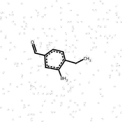 Bc1cc(C=O)ccc1CC